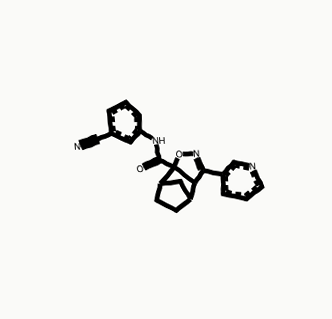 N#Cc1cccc(NC(=O)C23ON=C(c4cccnc4)C2C2CCC3C2)c1